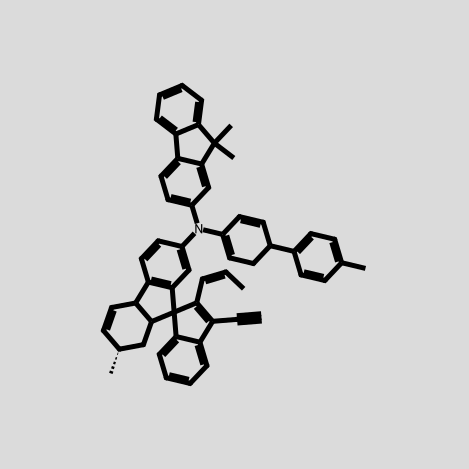 C#CC1=C(/C=C\C)C2(c3ccccc31)c1cc(N(C3=CCC(c4ccc(C)cc4)C=C3)c3ccc4c(c3)C(C)(C)c3ccccc3-4)ccc1C1C=C[C@@H](C)CC12